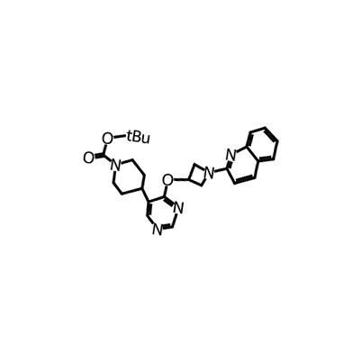 CC(C)(C)OC(=O)N1CCC(c2cncnc2OC2CN(c3ccc4ccccc4n3)C2)CC1